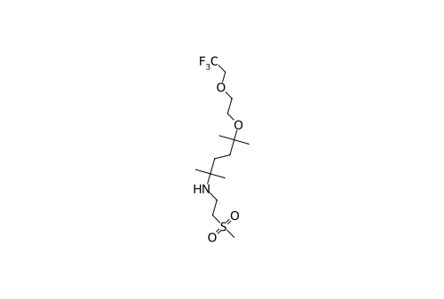 CC(C)(CCC(C)(C)OCCOCC(F)(F)F)NCCS(C)(=O)=O